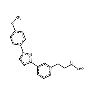 O=CNCCc1cccc(-c2ncn(-c3ccc(OC(F)(F)F)cc3)n2)c1